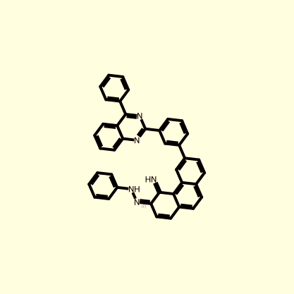 N=C1/C(=N\Nc2ccccc2)C=Cc2ccc3ccc(-c4cccc(-c5nc(-c6ccccc6)c6ccccc6n5)c4)cc3c21